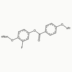 CCCCCCCCCOc1ccc(OC(=O)c2ccc(OCCC)cc2)cc1F